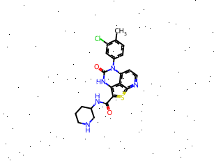 Cc1ccc(N2C(=O)Nc3c(C(=O)NC4CCCNC4)sc4nccc2c34)cc1Cl